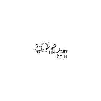 CC(C)CC(NC(=O)c1ccc2c(c1)OCO2)C(=O)O